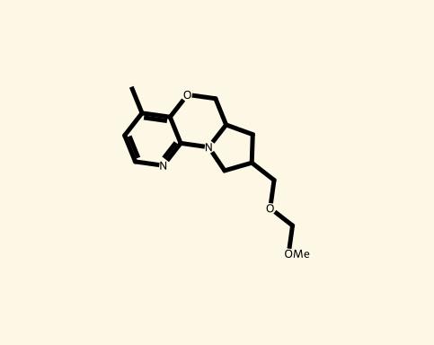 COCOCC1CC2COc3c(C)ccnc3N2C1